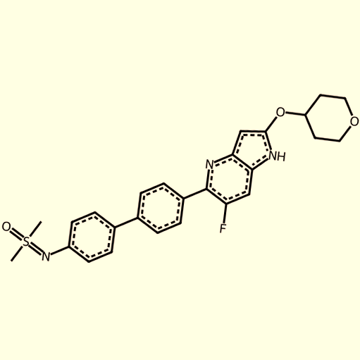 CS(C)(=O)=Nc1ccc(-c2ccc(-c3nc4cc(OC5CCOCC5)[nH]c4cc3F)cc2)cc1